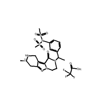 CC(c1cccc(N(S(C)(=O)=O)S(C)(=O)=O)c1)N1CCn2nc3c(c2C1=O)CN[C@H](C)C3.O=C(O)C(F)(F)F